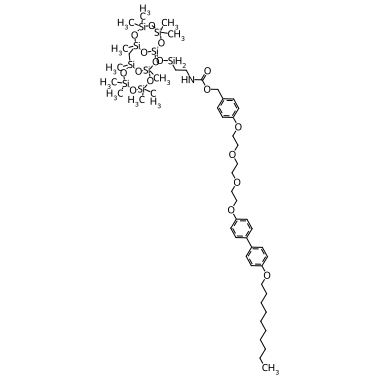 CCCCCCCCCCOc1ccc(-c2ccc(OCCOCCOCCOc3ccc(COC(=O)NCC[SiH2]O[Si]45O[Si](C)(C)O[Si](C)(C)O[Si](C)(C[Si]6(C)O[Si](C)(C)O[Si](C)(C)O[Si](C)(O6)O4)O5)cc3)cc2)cc1